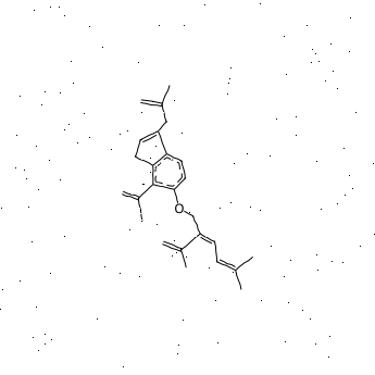 C=C(C)CC1=CCc2c1ccc(OC/C(=C/C=C(C)C)C(=C)C)c2C(=C)C